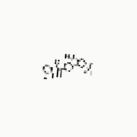 Cc1ccc(C(F)(F)F)cc1-c1ccc(NC(=O)c2cccc(F)c2F)cc1